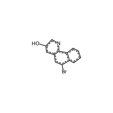 Oc1cnc2c(c1)cc(Br)c1ccccc12